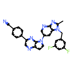 Cc1nc2ncc(-n3ccc4ncc(-c5ccc(C#N)cc5)nc43)cc2n1Cc1cc(F)cc(F)c1